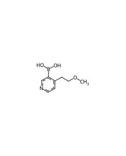 COCCc1ccncc1B(O)O